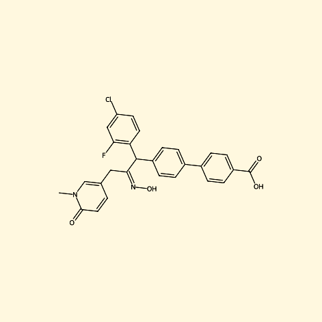 Cn1cc(CC(=NO)C(c2ccc(-c3ccc(C(=O)O)cc3)cc2)c2ccc(Cl)cc2F)ccc1=O